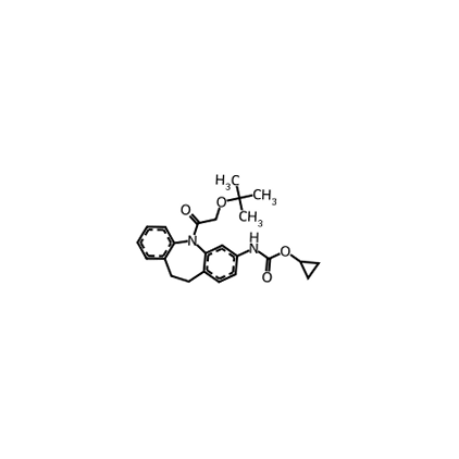 CC(C)(C)OCC(=O)N1c2ccccc2CCc2ccc(NC(=O)OC3CC3)cc21